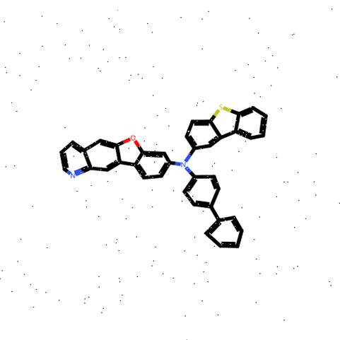 c1ccc(-c2ccc(N(c3ccc4c(c3)oc3cc5cccnc5cc34)c3ccc4sc5ccccc5c4c3)cc2)cc1